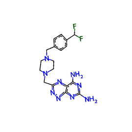 Nc1nc(N)c2nc(CN3CCN(Cc4ccc(C(F)F)cc4)CC3)nnc2n1